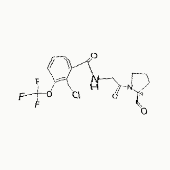 O=C[C@@H]1CCCN1C(=O)CNC(=O)c1cccc(OC(F)(F)F)c1Cl